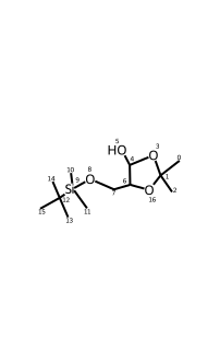 CC1(C)OC(O)C(CO[Si](C)(C)C(C)(C)C)O1